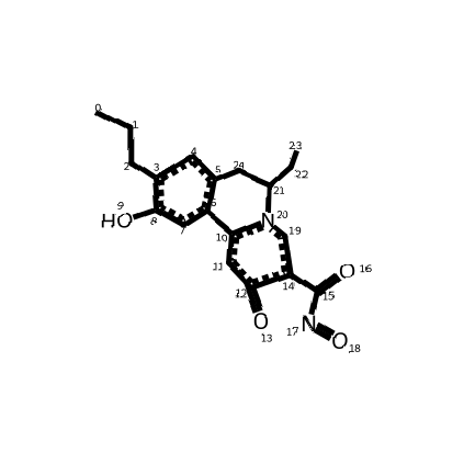 CCCc1cc2c(cc1O)-c1cc(=O)c(C(=O)N=O)cn1C(CC)C2